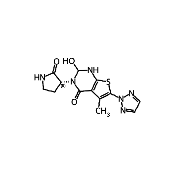 Cc1c(-n2nccn2)sc2c1C(=O)N([C@@H]1CCNC1=O)C(O)N2